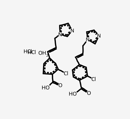 Cl.Cl.O.O=C(O)c1ccc(C=CCn2ccnc2)cc1Cl.O=C(O)c1ccc(C=CCn2ccnc2)cc1Cl